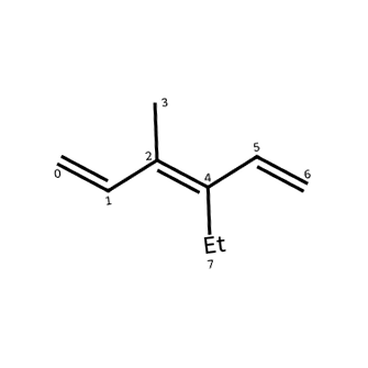 C=C/C(C)=C(/C=C)CC